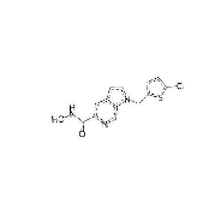 O=C(NO)c1cc2ccn(Cc3ccc(Cl)s3)c2cn1